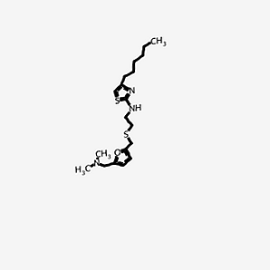 CCCCCCc1csc(NCCSCc2ccc(CN(C)C)o2)n1